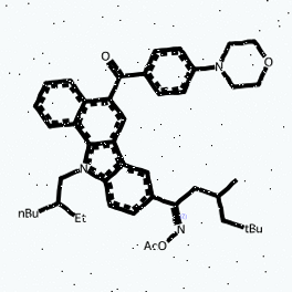 CCCCC(CC)Cn1c2ccc(/C(CC(C)CC(C)(C)C)=N\OC(C)=O)cc2c2cc(C(=O)c3ccc(N4CCOCC4)cc3)c3ccccc3c21